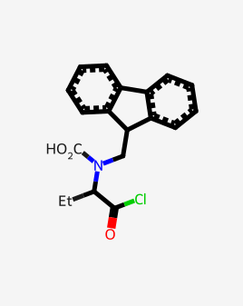 CCC(C(=O)Cl)N(CC1c2ccccc2-c2ccccc21)C(=O)O